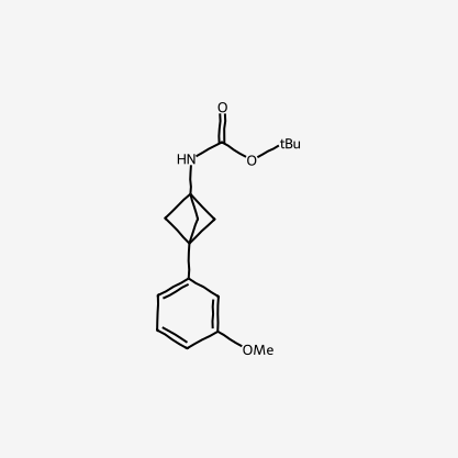 COc1cccc(C23CC(NC(=O)OC(C)(C)C)(C2)C3)c1